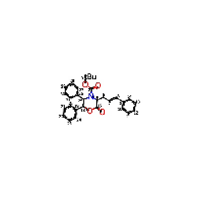 CC(C)(C)OC(=O)N1C(CC=Cc2ccccc2)C(=O)OC(c2ccccc2)C1c1ccccc1